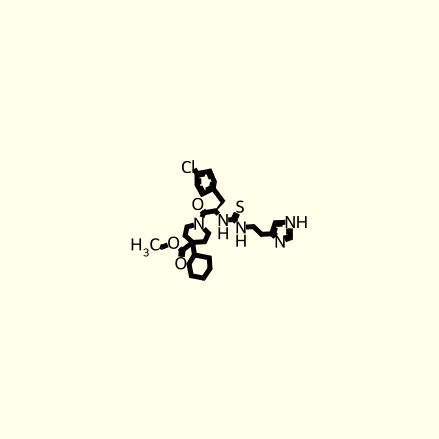 CCOC(=O)C1(C2CCCCC2)CCN(C(=O)[C@@H](Cc2ccc(Cl)cc2)NC(=S)NCCc2c[nH]cn2)CC1